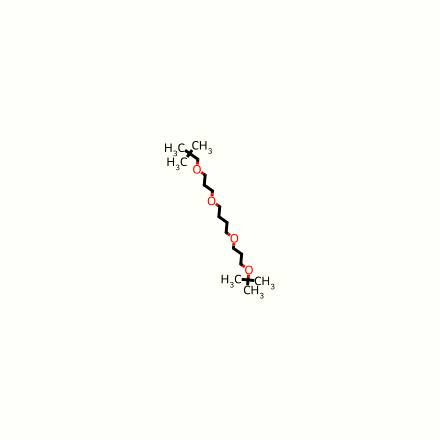 CC(C)(C)COCCCOCCCCOCCCOC(C)(C)C